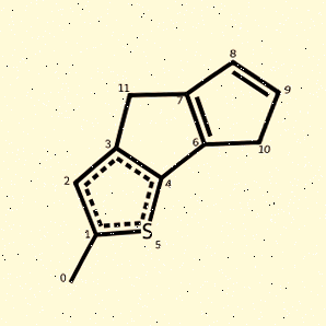 Cc1cc2c(s1)C1=C(C=CC1)C2